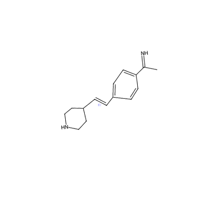 CC(=N)c1ccc(/C=C/C2CCNCC2)cc1